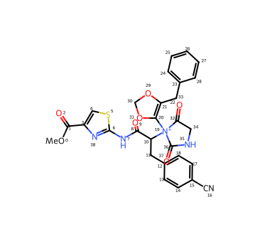 COC(=O)c1csc(NC(=O)C(Cc2ccc(C#N)cc2)[N+]2(C3=C(Cc4ccccc4)OCO3)C(=O)CNC2=O)n1